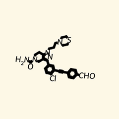 NC(=O)N1CCc2c(c(-c3ccc(Cl)c(C#Cc4ccc(C=O)cc4)c3)nn2CCCN2CCSCC2)C1